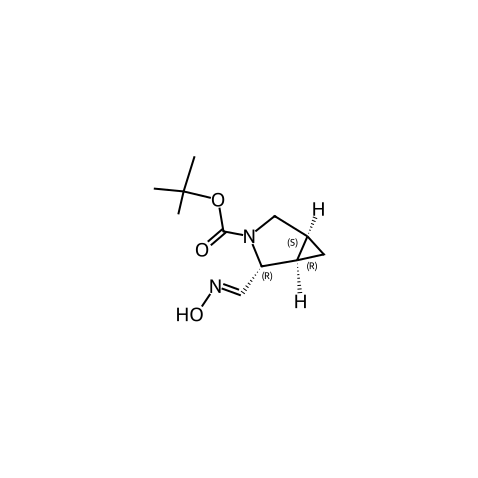 CC(C)(C)OC(=O)N1C[C@H]2C[C@H]2[C@@H]1C=NO